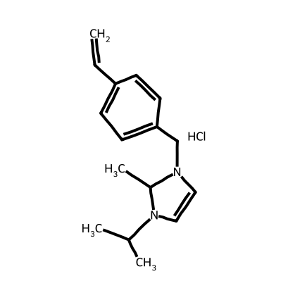 C=Cc1ccc(CN2C=CN(C(C)C)C2C)cc1.Cl